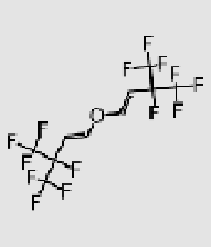 FC(F)(F)C(F)(C=COC=CC(F)(C(F)(F)F)C(F)(F)F)C(F)(F)F